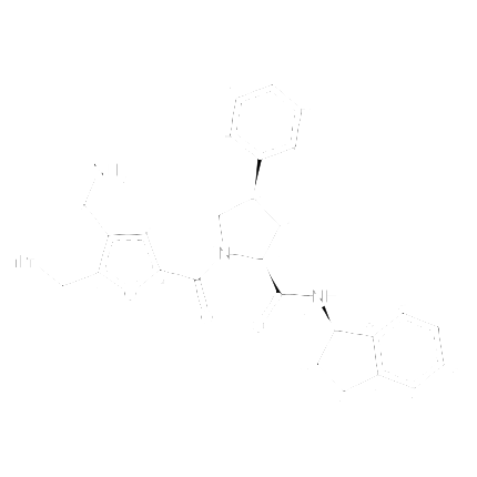 CC(C)Cc1oc(C(=O)N2C[C@@H](c3ccccc3)C[C@H]2C(=O)N[C@@H]2CCc3ccccc32)cc1CN